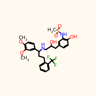 COc1ccc(C(CCc2ccccc2C(F)(F)F)NCC(O)Cc2ccc(O)c(NS(C)(=O)=O)c2)cc1OC